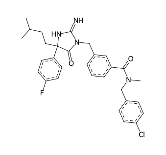 CC(C)CCC1(c2ccc(F)cc2)NC(=N)N(Cc2cccc(C(=O)N(C)Cc3ccc(Cl)cc3)c2)C1=O